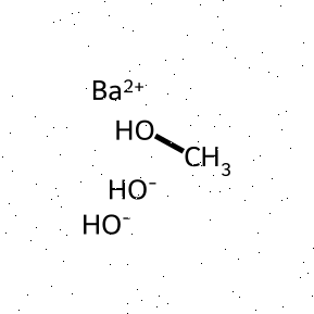 CO.[Ba+2].[OH-].[OH-]